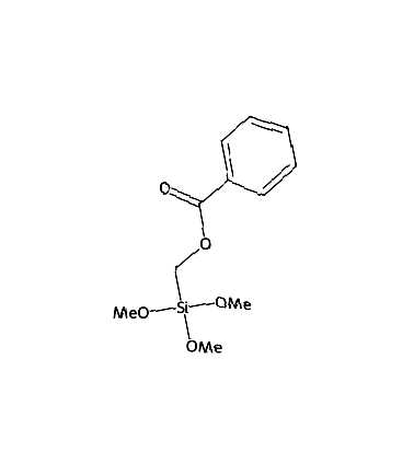 CO[Si](COC(=O)c1ccccc1)(OC)OC